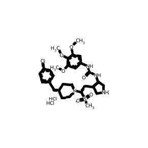 COc1cc(NC(=O)NC2CNCC2CC(N2CCC(Cc3ccc(Cl)cc3)CC2)S(C)(=O)=O)cc(OC)c1OC.Cl.Cl